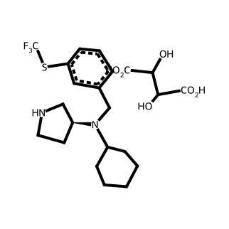 FC(F)(F)Sc1cccc(CN(C2CCCCC2)[C@H]2CCNC2)c1.O=C(O)C(O)C(O)C(=O)O